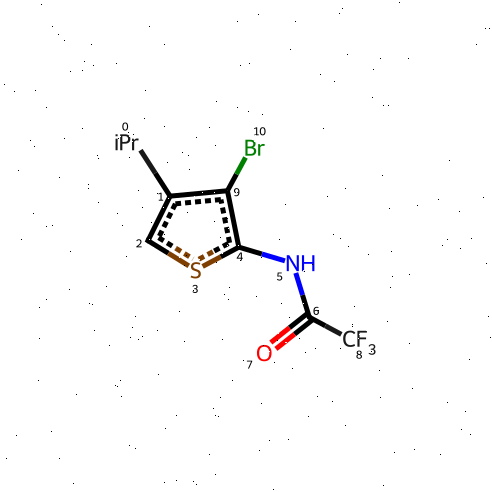 CC(C)c1csc(NC(=O)C(F)(F)F)c1Br